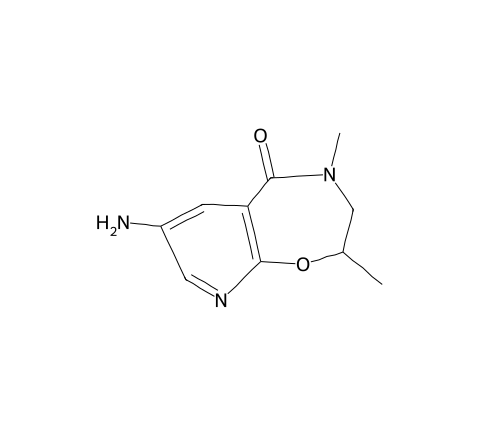 CC1CN(C)C(=O)c2cc(N)cnc2O1